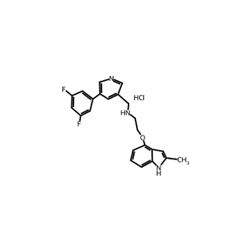 Cc1cc2c(OCCNCc3cncc(-c4cc(F)cc(F)c4)c3)cccc2[nH]1.Cl